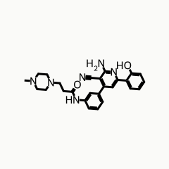 CN1CCN(CCC(=O)Nc2cccc(-c3cc(-c4ccccc4O)nc(N)c3C#N)c2)CC1